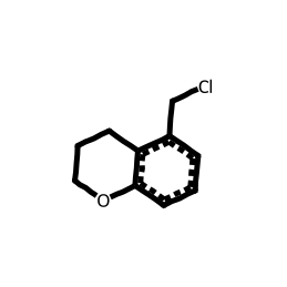 ClCc1cccc2c1CCCO2